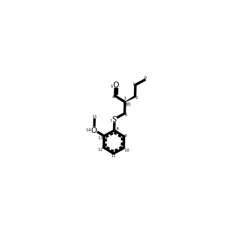 CCC[C@H](C=O)CSc1ccccc1OC